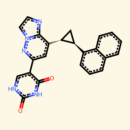 O=c1[nH]cc(-c2cc([C@@H]3C[C@H]3c3cccc4ccccc34)c3nccn3n2)c(=O)[nH]1